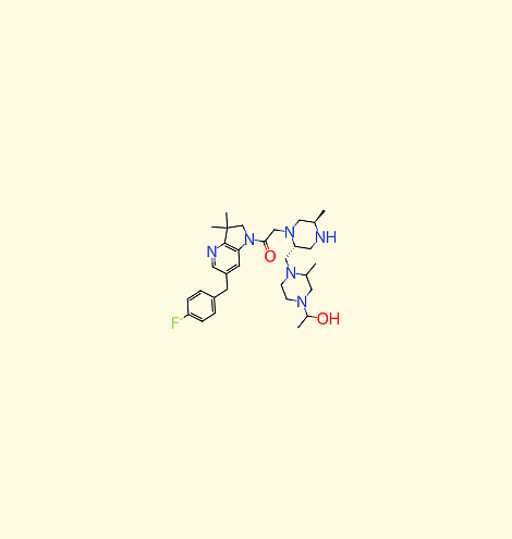 CC(O)N1CCN(C[C@H]2CN[C@H](C)CN2CC(=O)N2CC(C)(C)c3ncc(Cc4ccc(F)cc4)cc32)C(C)C1